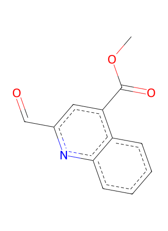 COC(=O)c1cc(C=O)nc2ccccc12